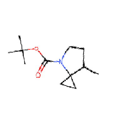 CC1CCN(C(=O)OC(C)(C)C)C12CC2